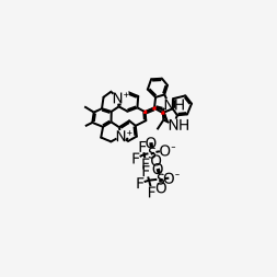 Cc1[nH]c2ccccc2c1/C=C/c1cc[n+]2c(c1)-c1c(c(C)c(C)c3c1-c1cc(/C=C/c4c(C)[nH]c5ccccc45)cc[n+]1CC3)CC2.O=S(=O)([O-])C(F)(F)F.O=S(=O)([O-])C(F)(F)F